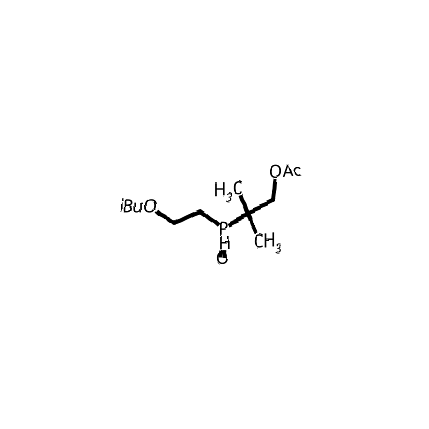 CC(=O)OCC(C)(C)[PH](=O)CCOCC(C)C